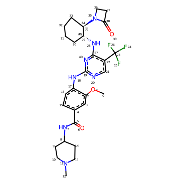 COc1cc(C(=O)NC2CCN(C)CC2)ccc1Nc1ncc(C(F)(F)F)c(N[C@@H]2CCCC[C@H]2N2CCC2=O)n1